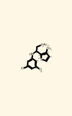 CC(=O)OCC(Nc1cc(Cl)cc(Cl)c1)c1sccc1C